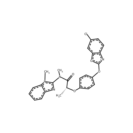 C[C@@H](Oc1ccc(Oc2nc3ccc(Cl)cc3o2)cc1)C(=O)N(C)c1nc2ccccc2n1C